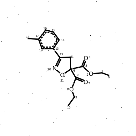 CCOC(=O)C1(C(=O)OCC)CC(c2cccc(C)c2)=NO1